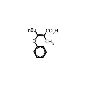 CCCCC(Oc1ccccc1)=C(C)C(=O)O